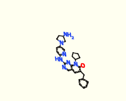 NC1CCN(c2ccc(Nc3ncc4cc(Cc5ccccc5)c(=O)n(C5CCCC5)c4n3)nc2)C1